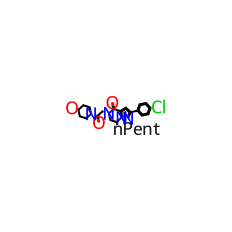 CCCCCC1CN(CC(=O)N2CCC(=O)CC2)C(=O)c2cc(-c3ccc(Cl)cc3)nn21